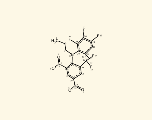 CCCN(c1c([N+](=O)[O-])cc([N+](=O)[O-])cc1C(F)(F)F)c1c(F)cc(F)c(F)c1F